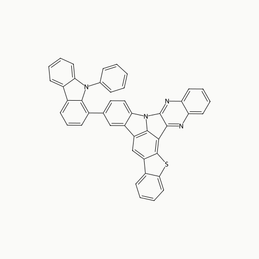 c1ccc(-n2c3ccccc3c3cccc(-c4ccc5c(c4)c4cc6c7ccccc7sc6c6c7nc8ccccc8nc7n5c46)c32)cc1